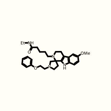 CCNC(=O)CCCCN1CCc2c([nH]c3ccc(OC)cc23)C12CCN(CCOc1ccccc1)C2